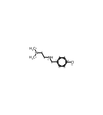 CN(C)CCNCc1ccc(Cl)cc1